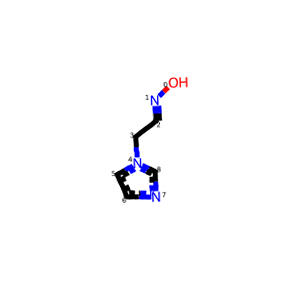 ON=CCn1ccnc1